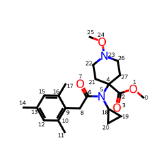 COC(=O)C1(N(C(=O)Cc2c(C)cc(C)cc2C)C2CC2)CCN(OC)CC1